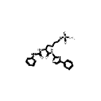 NS(=O)(=O)NCCCCC(NC(=O)Nc1ccccc1)C(=O)Nc1nc(-c2ccccc2)cs1